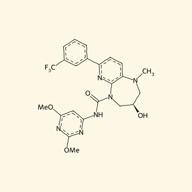 COc1cc(NC(=O)N2C[C@H](O)CN(C)c3ccc(-c4cccc(C(F)(F)F)c4)nc32)nc(OC)n1